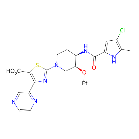 CCO[C@H]1CN(c2nc(-c3cnccn3)c(C(=O)O)s2)CC[C@H]1NC(=O)c1cc(Cl)c(C)[nH]1